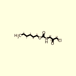 CCCCCCOC(=O)NCC(=O)CCl